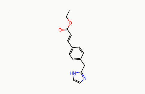 CCOC(=O)/C=C/c1ccc(Cc2ncc[nH]2)cc1